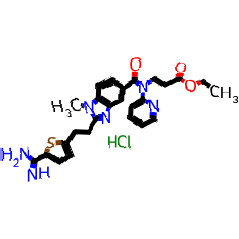 CCOC(=O)CCN(C(=O)c1ccc2c(c1)nc(CCc1ccc(C(=N)N)s1)n2C)c1ccccn1.Cl